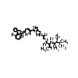 CC(C)[C@H](N)C(=O)N[C@H](C(=O)OCC(=O)NCc1cnc(-c2ccc(NCC3(c4ncccc4F)CCC3)nn2)s1)C(C)C